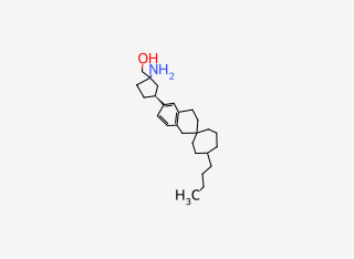 CCCCC1CCCC2(CCc3cc([C@H]4CC[C@](N)(CO)C4)ccc3C2)CC1